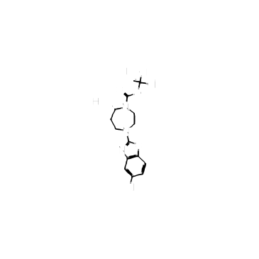 C[C@@H]1CCN(c2nc3cc(Cl)ccc3o2)CCN1C(=O)OC(C)(C)C